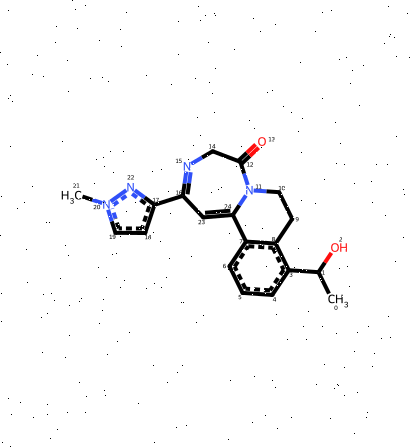 CC(O)c1cccc2c1CCN1C(=O)CN=C(c3ccn(C)n3)C=C21